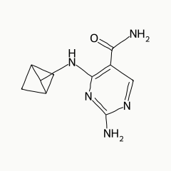 NC(=O)c1cnc(N)nc1NC1C2CC1C2